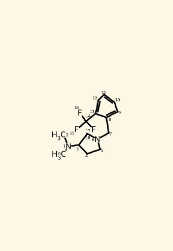 CN(C)C1CCN(Cc2ccccc2C(F)(F)F)C1